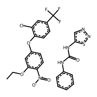 CCOc1cc(Oc2ccc(C(F)(F)F)cc2Cl)ccc1[N+](=O)[O-].O=C(Nc1ccccc1)Nc1cnns1